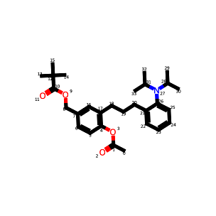 CC(=O)Oc1ccc(COC(=O)C(C)(C)C)cc1CCCc1ccccc1N(C(C)C)C(C)C